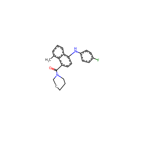 Cc1cccc2c(Nc3ccc(F)cc3)ccc(C(=O)N3CCCCC3)c12